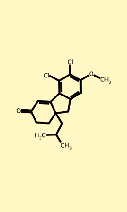 COc1cc2c(c(Cl)c1Cl)C1=CC(=O)CCC1(CC(C)C)C2